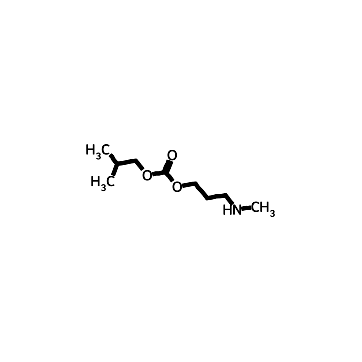 CNCCCOC(=O)OCC(C)C